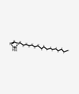 CCCCCCCCCCCCCCCCCN1C=NNN1